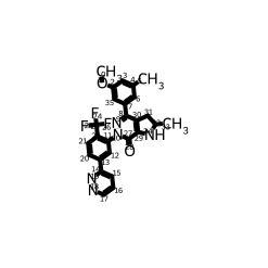 COc1cc(C)cc(-c2nn(-c3cc(-c4cccnn4)ccc3C(F)(F)F)c(=O)c3c2CC(C)N3)c1